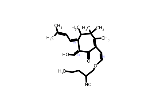 BCCC(CO/C=C\C1=C(C)C(C)(C)C(C)C(=C\C=C(C)C)/C(=C\O)C1=O)N=O